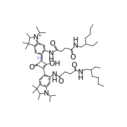 CCCCC(CC)CNC(=O)CCC(=O)Nc1cc2c(cc1C1=C(O)/C(=c3/cc4c(cc3NC(=O)CCC(=O)NCC(CC)CCCC)=[N+](C(C)C)C(C)C4(C)C)C1=O)C(C)(C)C(C)N2C(C)C